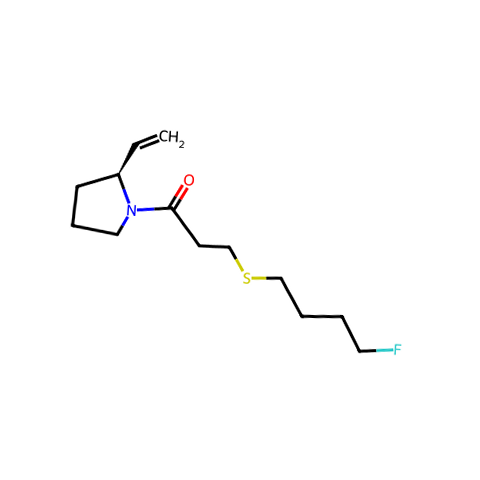 C=C[C@@H]1CCCN1C(=O)CCSCCCCF